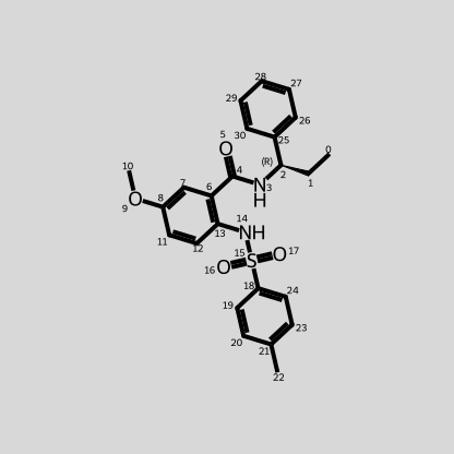 CC[C@@H](NC(=O)c1cc(OC)ccc1NS(=O)(=O)c1ccc(C)cc1)c1ccccc1